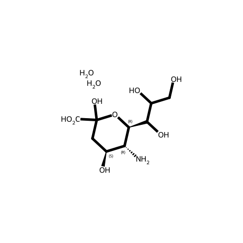 N[C@@H]1[C@@H](O)CC(O)(C(=O)O)O[C@H]1C(O)C(O)CO.O.O